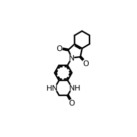 O=C1CNc2ccc(N3C(=O)C4=C(CCCC4)C3=O)cc2N1